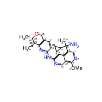 COc1ncc(C(C)(N)C2CC2)c2cc(Nc3ccc4c(n3)[C@@H](C)[C@H](C)OC4)ncc12